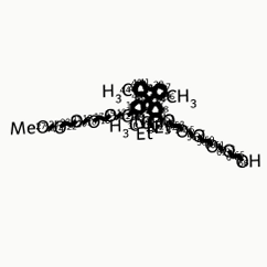 CCN(CC)Cc1cc(C2(c3ccc(OCCOCCOCCOCCOCCOC)c(N(C)C)c3)c3cc(C)ccc3-c3ccc(C)cc32)ccc1COCCOCCOCCOCCOCCO